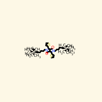 CC(C)[Si](C#CCCCCN1C(=O)C2=C(c3cccs3)N(CCCCC#C[Si](C(C)C)(C(C)C)C(C)C)C(=O)C2=C1c1cccs1)(C(C)C)C(C)C